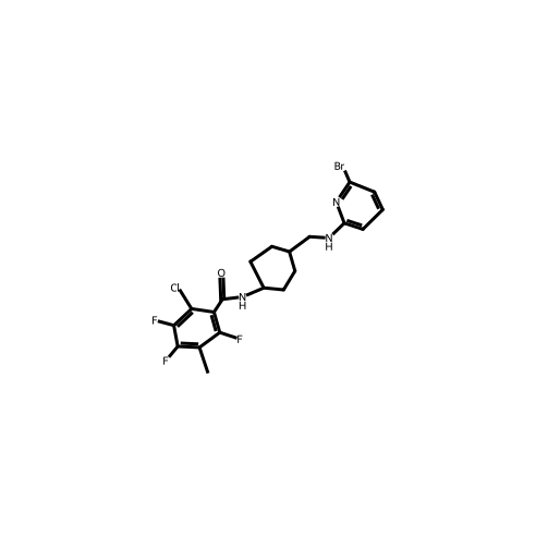 Cc1c(F)c(F)c(Cl)c(C(=O)NC2CCC(CNc3cccc(Br)n3)CC2)c1F